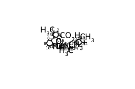 Cc1cc(C(=O)O)cc(-c2ccccc2C(C)OC[C@H](O)CNC(C)(C)Cc2ccc(C)c(F)c2)c1